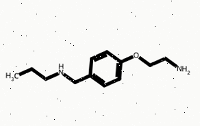 CCCNCc1ccc(OCCN)cc1